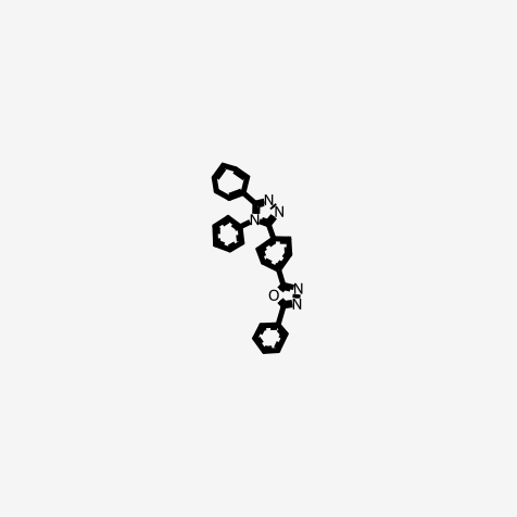 C1=CCC=C(c2nnc(-c3ccc(-c4nnc(-c5ccccc5)o4)cc3)n2-c2ccccc2)C=C1